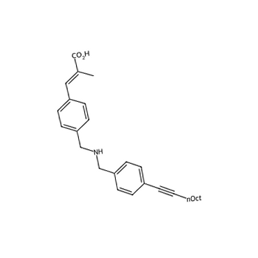 CCCCCCCCC#Cc1ccc(CNCc2ccc(C=C(C)C(=O)O)cc2)cc1